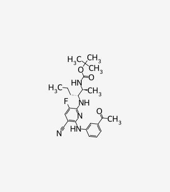 CCC[C@@H](Nc1nc(Nc2cccc(C(C)=O)c2)c(C#N)cc1F)[C@H](C)NC(=O)OC(C)(C)C